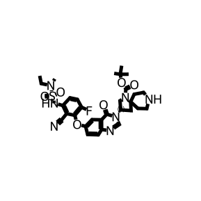 CCN(C)S(=O)(=O)Nc1ccc(F)c(Oc2ccc3ncn([C@H]4CN(C(=O)OC(C)(C)C)C5(CCNCC5)C4)c(=O)c3c2)c1C#N